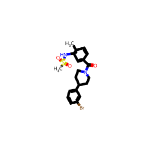 Cc1ccc(C(=O)N2CCC(c3cccc(Br)c3)CC2)cc1NS(C)(=O)=O